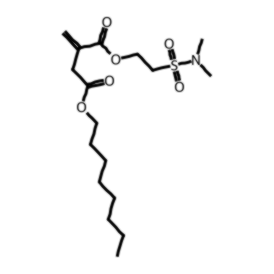 C=C(CC(=O)OCCCCCCCC)C(=O)OCCS(=O)(=O)N(C)C